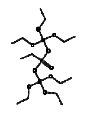 CCO[Si](OCC)(OCC)OP(=O)(CC)O[Si](OCC)(OCC)OCC